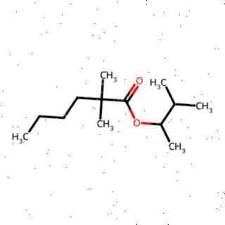 CCCCC(C)(C)C(=O)OC(C)C(C)C